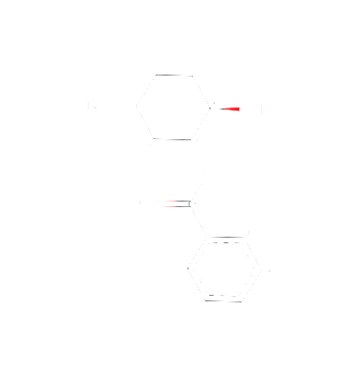 CC(C)(C)[C@@H]1CC[C@@H](O)[C@H](OC(=O)c2ccccc2)C1